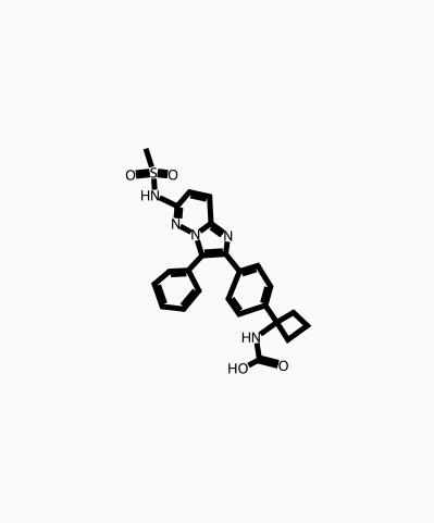 CS(=O)(=O)Nc1ccc2nc(-c3ccc(C4(NC(=O)O)CCC4)cc3)c(-c3ccccc3)n2n1